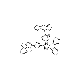 c1ccc2c(-c3ccc(-n4c(-c5ccc(-c6ccc7ccc8cccc9ccc6c7c89)cc5)nc5c6ccccc6c6ccccc6c54)cn3)c3ccccc3cc2c1